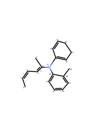 C/C=C\C=C(/C)N(C1=CCCC=C1)c1ccccc1C